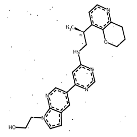 C[C@H](CNc1cc(-c2cnc3c(ccn3CCO)c2)ncn1)c1ccnc2c1OCCC2